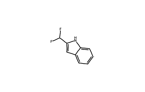 FC(F)c1cc2cc[c]cc2[nH]1